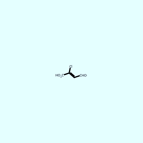 O=[C]/C=C(\Cl)C(=O)O